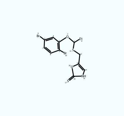 CCC(Oc1cc(Br)ccc1Br)SCc1c[nH]c(=S)o1